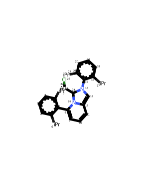 CC(C)c1cccc(C(C)C)c1C1=CC=CC2=CN(c3c(C(C)C)cccc3C(C)C)[CH]([Au-][Cl])N21